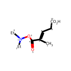 CCN(CC)OC(=O)C(C)=CCC(=O)O